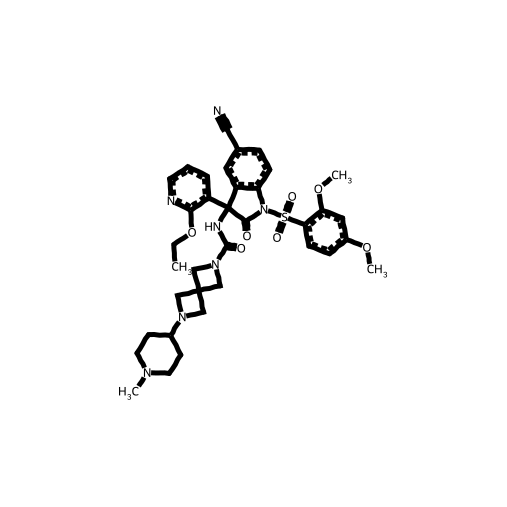 CCOc1ncccc1C1(NC(=O)N2CC3(C2)CN(C2CCN(C)CC2)C3)C(=O)N(S(=O)(=O)c2ccc(OC)cc2OC)c2ccc(C#N)cc21